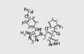 CC(c1oc2cccc(F)c2c(=O)c1-c1cn[nH]c1)n1nc(-c2ccc(OC(F)F)c(F)c2)c2c(N)ncnc21